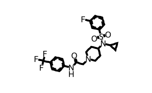 O=C(CN1CCC(N(C2CC2)S(=O)(=O)c2cccc(F)c2)CC1)Nc1ccc(C(F)(F)F)cc1